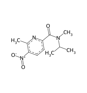 Cc1nc(C(=O)N(C)C(C)C)ccc1[N+](=O)[O-]